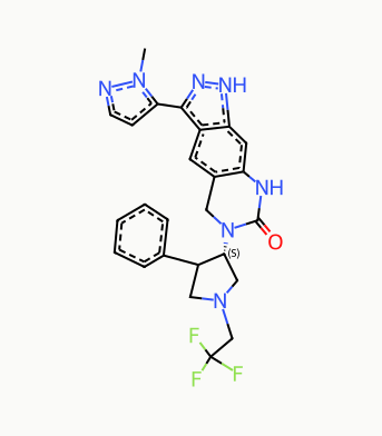 Cn1nccc1-c1n[nH]c2cc3c(cc12)CN([C@@H]1CN(CC(F)(F)F)CC1c1ccccc1)C(=O)N3